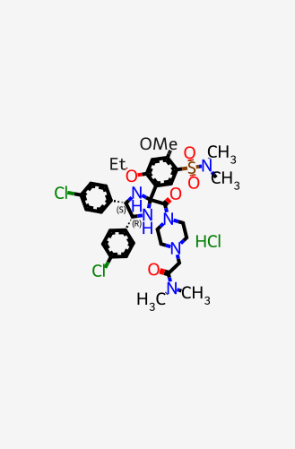 CCOc1cc(OC)c(S(=O)(=O)N(C)C)cc1C1(C(=O)N2CCN(CC(=O)N(C)C)CC2)N[C@H](c2ccc(Cl)cc2)[C@H](c2ccc(Cl)cc2)N1.Cl